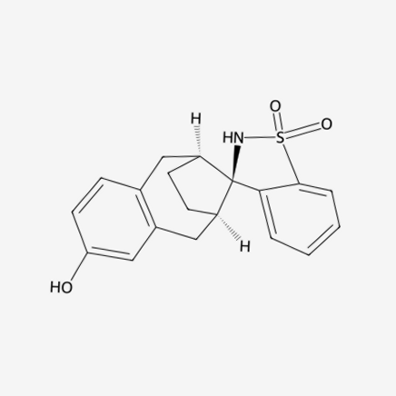 O=S1(=O)N[C@@]2(c3ccccc31)[C@@H]1CC[C@H]2Cc2ccc(O)cc2C1